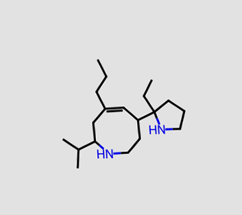 CCC/C1=C/C(C2(CC)CCCN2)CCNC(C(C)C)C1